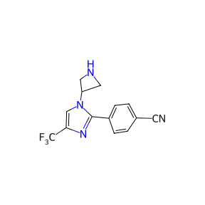 N#Cc1ccc(-c2nc(C(F)(F)F)cn2C2CNC2)cc1